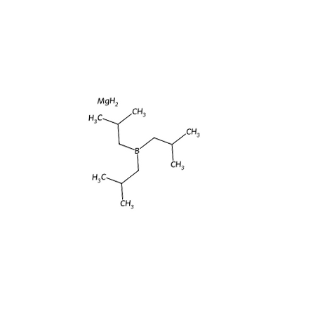 CC(C)CB(CC(C)C)CC(C)C.[MgH2]